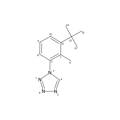 Cc1c(-n2cnnn2)cccc1C(C)(C)C